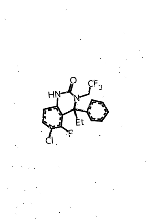 CCC1(c2ccccc2)c2c(ccc(Cl)c2F)NC(=O)N1CC(F)(F)F